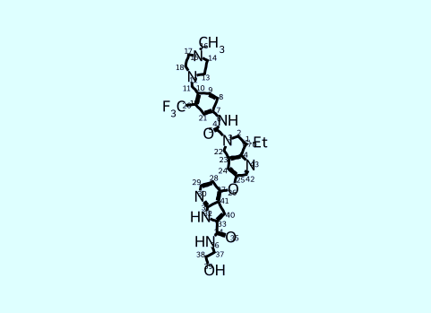 CC[C@H]1CN(C(=O)Nc2ccc(CN3CCN(C)CC3)c(C(F)(F)F)c2)Cc2cc(Oc3ccnc4[nH]c(C(=O)NCCO)cc34)cnc21